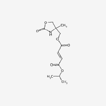 CC(C)OC(=O)/C=C/C(=O)OCC1(C)COC(=O)N1